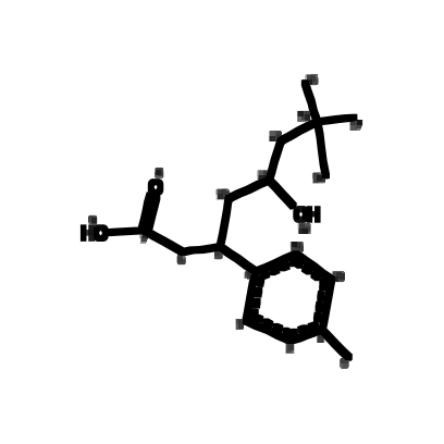 Cc1ccc(C(CC(=O)O)CC(O)CC(C)(C)C)cc1